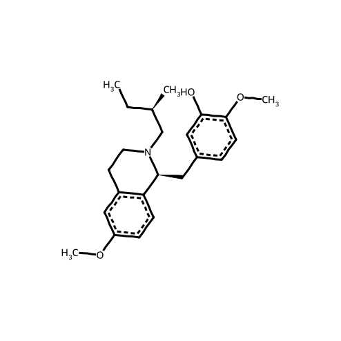 CC[C@@H](C)CN1CCc2cc(OC)ccc2[C@@H]1Cc1ccc(OC)c(O)c1